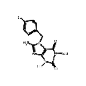 CCCCn1c(=O)c2c(nc(N)n2Cc2ccc(Cl)cc2)n(C)c1=O